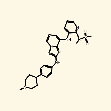 CN1CCC(c2ccc(Nc3nc4c(Nc5cccnc5N(C)S(C)(=O)=O)cccn4n3)cc2)CC1